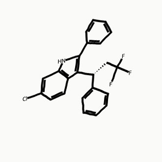 FC(F)(F)C[C@H](c1ccccc1)c1c(-c2ccccc2)[nH]c2cc(Cl)ccc12